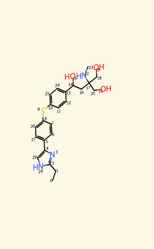 CCc1nc(-c2ccc(Sc3ccc(C(O)CC(CO)(CO)NC)cc3)cc2)c[nH]1